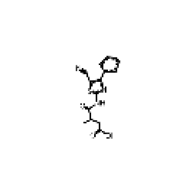 CC(CC(=O)O)C(=O)Nc1nc(-c2ccccc2)c(C#N)s1